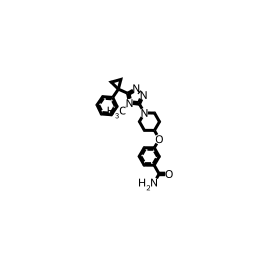 Cn1c(N2CCC(Oc3cccc(C(N)=O)c3)CC2)nnc1C1(c2ccccc2)CC1